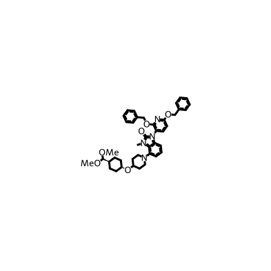 COC(OC)[C@H]1CC[C@H](OC2CCN(c3cccc4c3n(C)c(=O)n4-c3ccc(OCc4ccccc4)nc3OCc3ccccc3)CC2)CC1